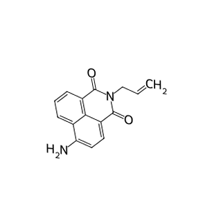 C=CCN1C(=O)c2cccc3c(N)ccc(c23)C1=O